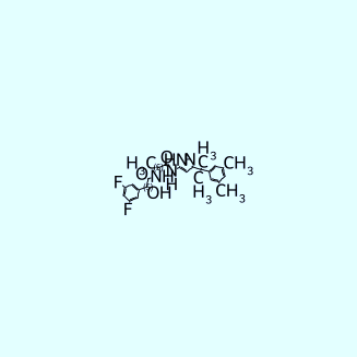 Cc1cc(C)cc(C(C)(C)c2cc(NC(=O)[C@H](C)NC(=O)[C@@H](O)c3cc(F)cc(F)c3)[nH]n2)c1